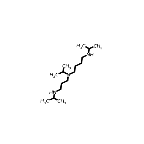 CC(C)NCCCCN(CCCNC(C)C)C(C)C